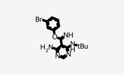 CC(C)(C)Nc1ncnc(N)c1C(=N)Oc1cccc(Br)c1